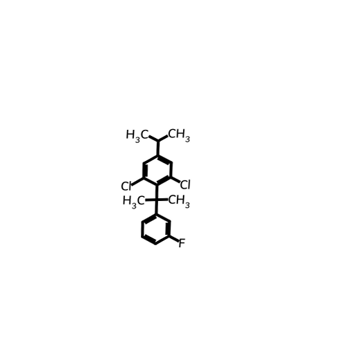 CC(C)c1cc(Cl)c(C(C)(C)c2cccc(F)c2)c(Cl)c1